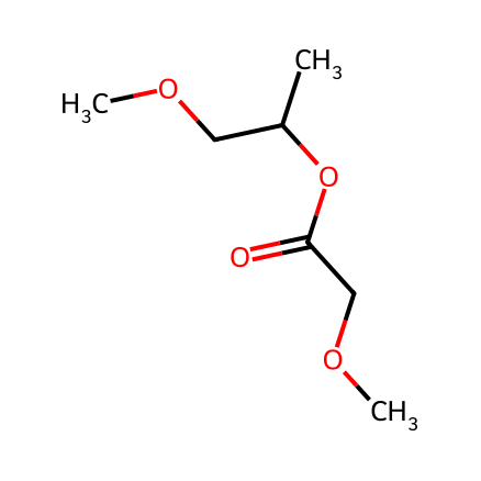 COCC(=O)OC(C)COC